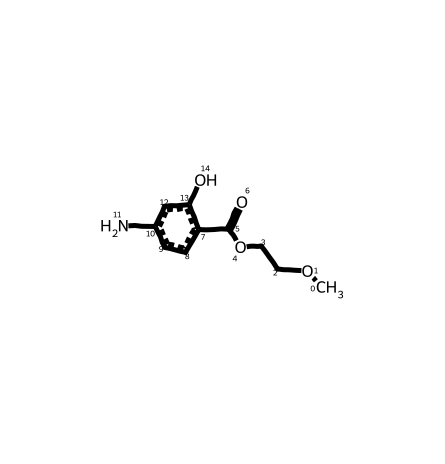 COCCOC(=O)c1ccc(N)cc1O